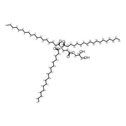 CCCCCCCCCCCCCCCCCC(=O)S(CCC(=O)OCC(O)CO)(C(=O)CCCCCCCCCCCCCCCCC)C(=O)CCCCCCCCCCCCCCCCC